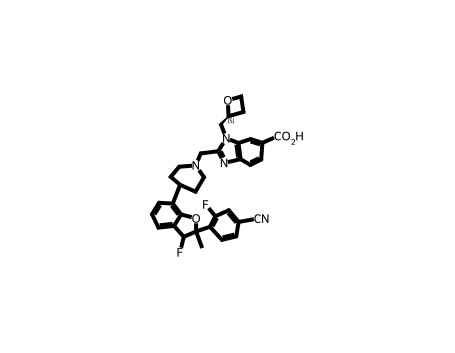 CC1(c2ccc(C#N)cc2F)Oc2c(C3CCN(Cc4nc5ccc(C(=O)O)cc5n4C[C@@H]4CCO4)CC3)cccc2C1F